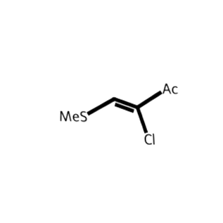 CS/C=C(\Cl)C(C)=O